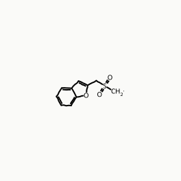 [CH2]S(=O)(=O)Cc1cc2ccccc2o1